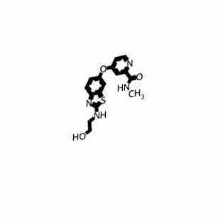 CNC(=O)c1cc(Oc2ccc3nc(NCCO)sc3c2)ccn1